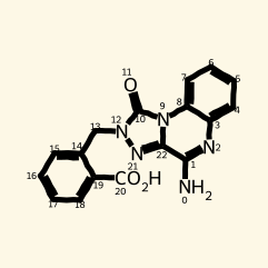 Nc1nc2ccccc2n2c(=O)n(Cc3ccccc3C(=O)O)nc12